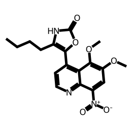 CCCCc1[nH]c(=O)oc1-c1ccnc2c([N+](=O)[O-])cc(OC)c(OC)c12